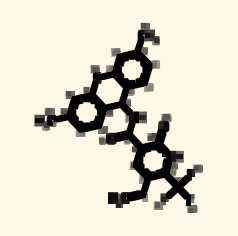 C=Cc1cc(C(=O)NC2c3ccc(C)cc3Sc3cc(C)ccc32)c(=O)[nH]c1C(F)(F)F